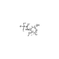 CO[C@@]1(C)[C@@H](NC(=O)C(F)(F)F)C[C@H](O)O[C@H]1C